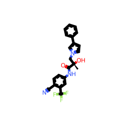 C[C@](O)(Cn1ccc(-c2ccccc2)c1)C(=O)Nc1ccc(C#N)c(C(F)(F)F)c1